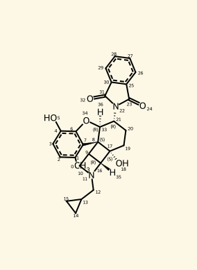 Cc1ccc(O)c2c1[C@]13C4CN(CC5CC5)[C@H]4[C@]1(O)CC[C@@H](N1C(=O)c4ccccc4C1=O)[C@@H]3O2